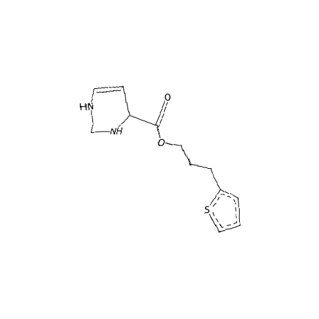 O=C(OCCCc1cccs1)C1C=CNCN1